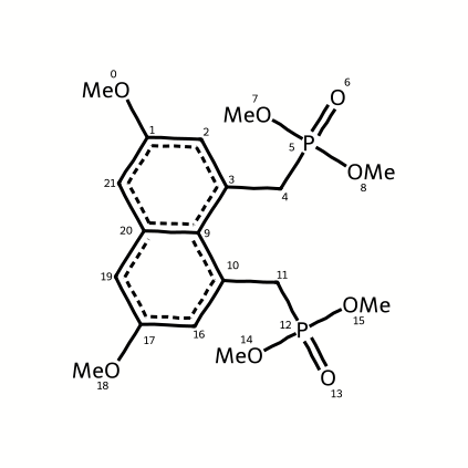 COc1cc(CP(=O)(OC)OC)c2c(CP(=O)(OC)OC)cc(OC)cc2c1